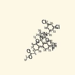 CCOC(=O)Cc1ccc(OC)c(-c2ccc(C(F)(F)F)cc2CN(CC)C(=O)NCc2cc(Cl)cc(Cl)c2)c1